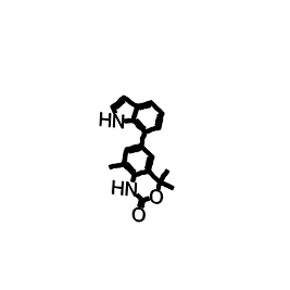 Cc1cc(-c2cccc3cc[nH]c23)cc2c1NC(=O)OC2(C)C